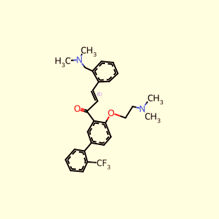 CN(C)CCOc1ccc(-c2ccccc2C(F)(F)F)cc1C(=O)/C=C/c1ccccc1CN(C)C